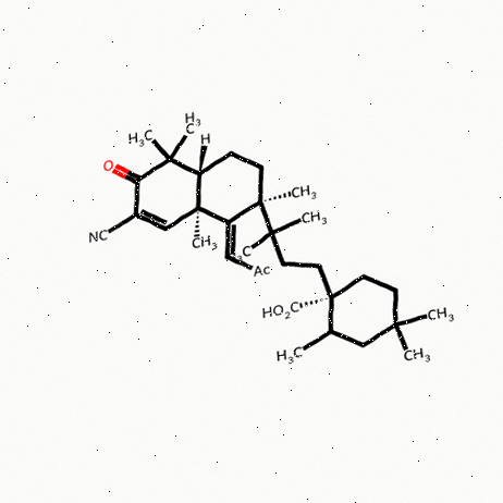 CC(=O)/C=C1/[C@@]2(C)C=C(C#N)C(=O)C(C)(C)[C@@H]2CC[C@@]1(C)C(C)(C)CC[C@@]1(C(=O)O)CCC(C)(C)CC1C